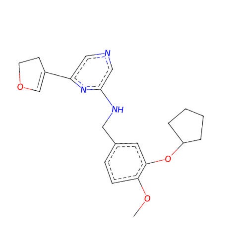 COc1ccc(CNc2cncc(C3=COCC3)n2)cc1OC1CCCC1